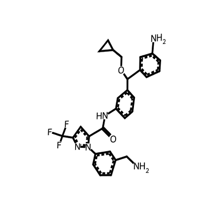 NCc1cccc(-n2nc(C(F)(F)F)cc2C(=O)Nc2cccc(C(OCC3CC3)c3cccc(N)c3)c2)c1